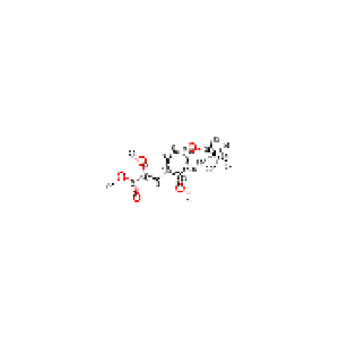 COC(=O)[C@H](Cc1ccc(O[Si](C)(C)C(C)(C)C)cc1OC)OC